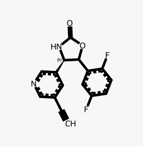 C#Cc1cncc([C@H]2NC(=O)OC2c2cc(F)ccc2F)c1